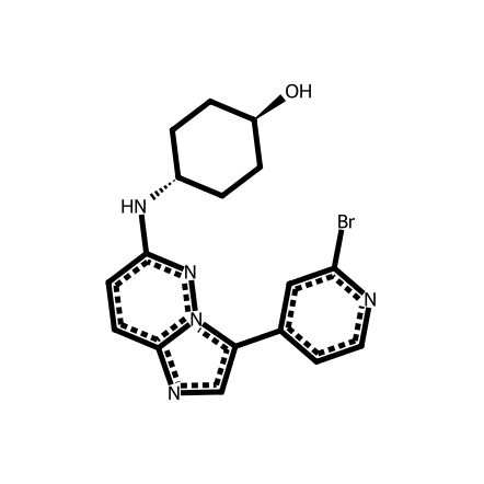 O[C@H]1CC[C@H](Nc2ccc3ncc(-c4ccnc(Br)c4)n3n2)CC1